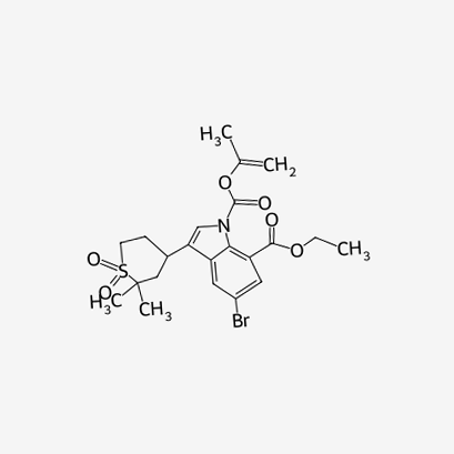 C=C(C)OC(=O)n1cc(C2CCS(=O)(=O)C(C)(C)C2)c2cc(Br)cc(C(=O)OCC)c21